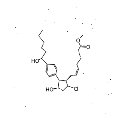 CCCCCC(O)c1ccc(C2[C@@H](C/C=C\CCCC(=O)OC)C(Cl)C[C@H]2O)cc1